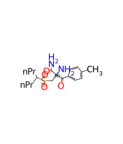 CCCC(CCC)S(=O)(=O)C[C@](N)(C(N)=O)C(=O)c1ccc(C)cc1